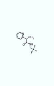 NC(C(=O)NCC(F)(F)F)c1ccccn1